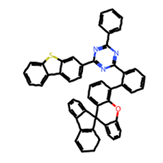 C1=CC2=C(CC1)C1(c3ccccc3Oc3c(-c4ccccc4-c4nc(-c5ccccc5)nc(-c5ccc6c(c5)sc5ccccc56)n4)cccc31)c1ccccc12